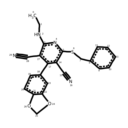 CCNc1nc(SCc2ccccc2)c(C#N)c(-c2ccc3c(c2)OCO3)c1C#N